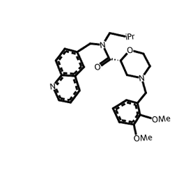 COc1cccc(CN2CCO[C@@H](C(=O)N(Cc3ccc4ncccc4c3)CC(C)C)C2)c1OC